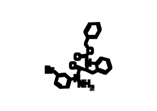 NN(C(=O)C1Cc2ccccc2N1C(=O)OCc1ccccc1)c1cccc(Br)c1